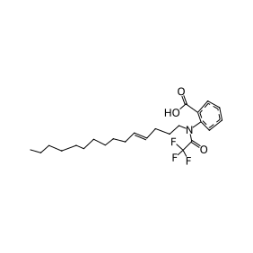 CCCCCCCCCC/C=C/CCCN(C(=O)C(F)(F)F)c1ccccc1C(=O)O